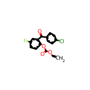 C=COC(=O)Oc1ccc(F)cc1C(=O)c1ccc(Cl)cc1